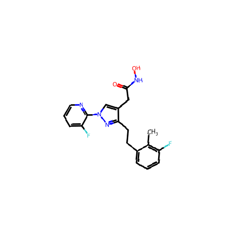 Cc1c(F)cccc1CCc1nn(-c2ncccc2F)cc1CC(=O)NO